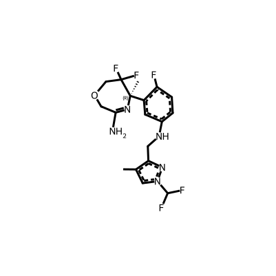 Cc1cn(C(F)F)nc1CNc1ccc(F)c([C@@]2(C)N=C(N)COCC2(F)F)c1